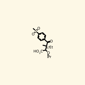 CC[C@](C)(C(=O)c1ccc(S(C)(=O)=O)cc1)C(OC(C)C)C(=O)O